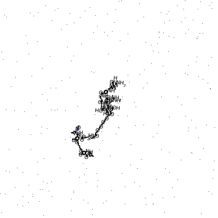 C=C1C[C@H]2C=Nc3cc(OCCCCCOc4cc(NC(=O)OCCSSC[C@@H](C)NC(=O)CCOCCOCCOCCOCCNC(=O)C(CC(=O)O)NC(=O)[C@H](CC(=O)O)NC(=O)[C@H](CCCNC(=N)N)NC(=O)[C@H](CC(=O)O)NC(=O)CC[C@@H](C)NC(=O)c5ccc(NCc6cnc7nc(N)[nH]c(=O)c7n6)cc5)c(C(=O)N5CC(=C)C[C@H]5/C=N/OC)cc4OC)c(OC)cc3C(=O)N2C1